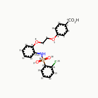 O=C(O)c1ccc(OCCOc2ccccc2NS(=O)(=O)c2ccccc2F)cc1